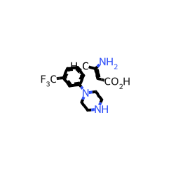 CC(N)=CC(=O)O.FC(F)(F)c1cccc(N2CCNCC2)c1